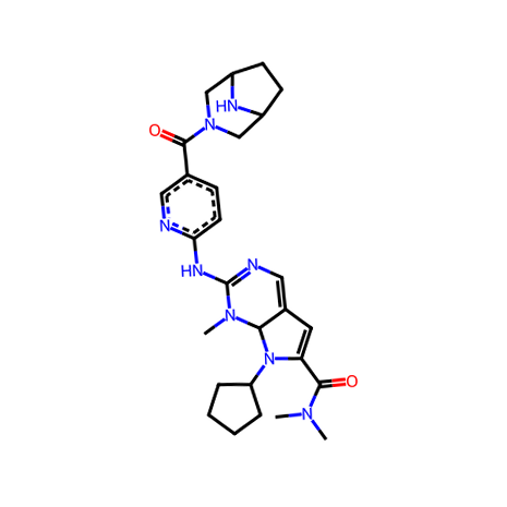 CN(C)C(=O)C1=CC2=CN=C(Nc3ccc(C(=O)N4CC5CCC(C4)N5)cn3)N(C)C2N1C1CCCC1